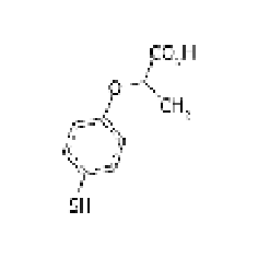 CC(Oc1ccc(S)cc1)C(=O)O